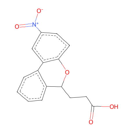 O=C(O)CCC1Oc2ccc([N+](=O)[O-])cc2-c2ccccc21